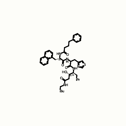 CCC(C)CNC(=O)C[C@H](O)[C@H](CC(C)C)NC(=O)C(Cc1cscn1)NC(=O)[C@H](Cc1cccc2ccccc12)NC(=O)CCCc1ccccc1